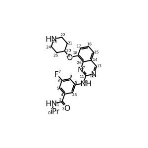 CC(C)NC(=O)c1cc(F)cc(Nc2ncc3cccc(OC4CCNCC4)c3n2)c1